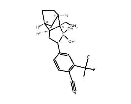 N#Cc1ccc(N2C[C@H]3[C@H]4CC[C@H](C4)[C@@]3(CN)S2(O)O)cc1C(F)(F)F